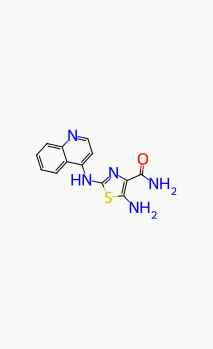 NC(=O)c1nc(Nc2ccnc3ccccc23)sc1N